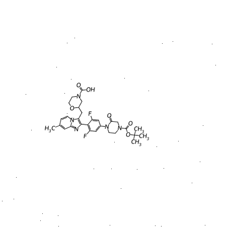 Cc1ccn2c(CC3CN(C(=O)O)CCO3)c(-c3c(F)cc(N4CCN(C(=O)OC(C)(C)C)CC4=O)cc3F)nc2c1